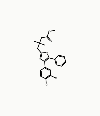 COC(=O)CC(C)(C)Cc1nc(-c2ccc(Cl)c(Cl)c2)c(-c2ccccc2)o1